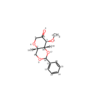 CO[C@@H]1C(=O)CO[C@H]2COC(c3ccccc3)O[C@H]21